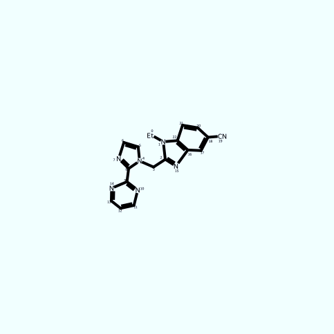 CCn1c(Cn2ccnc2-c2ncccn2)nc2cc(C#N)ccc21